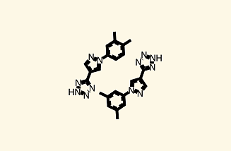 Cc1cc(C)cc(-n2cc(-c3nn[nH]n3)cn2)c1.Cc1ccc(-n2cc(-c3nn[nH]n3)cn2)cc1C